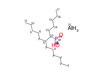 CCCCCCC(CCCCC)C(CCCCC)[PH](=O)O.[AlH3]